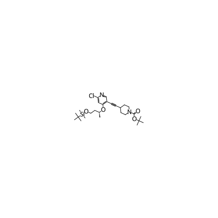 C[C@@H](CCO[Si](C)(C)C(C)(C)C)Oc1cc(Cl)ncc1C#CC1CCN(C(=O)OC(C)(C)C)CC1